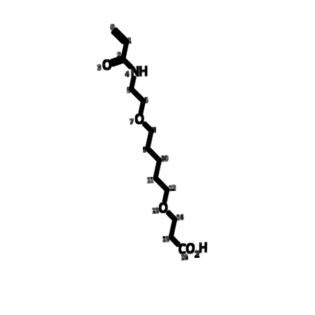 C=CC(=O)NCCOCCCCCOCCC(=O)O